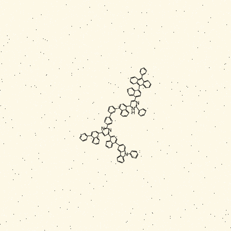 C1=C(c2ccc(-c3c4ccccc4c(-c4ccccc4)c4ccccc34)c3ccccc23)N=C(c2ccccc2)NC1c1ccc(-c2cccc(-c3ccc(-c4nc(-c5ccc(-c6ccccc6)c6ccccc56)cc(-c5ccc(-c6ccc7c(c6)c6ccccc6n7-c6ccccc6)c6ccccc56)n4)cc3)c2)c2ccccc12